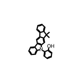 CC1(C)c2ccccc2-c2cc3c4ccccc4n(-c4ccccc4O)c3cc21